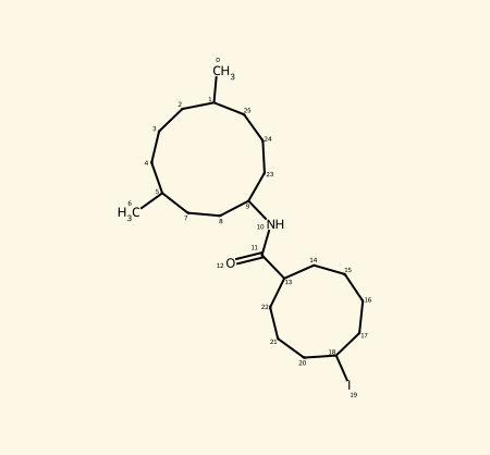 CC1CCCC(C)CCC(NC(=O)C2CCCCC(I)CCC2)CCC1